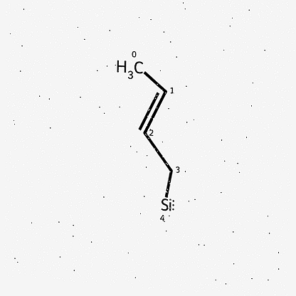 CC=CC[Si]